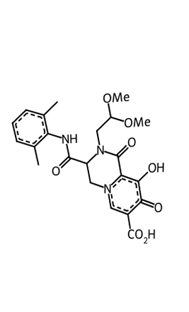 COC(CN1C(=O)c2c(O)c(=O)c(C(=O)O)cn2CC1C(=O)Nc1c(C)cccc1C)OC